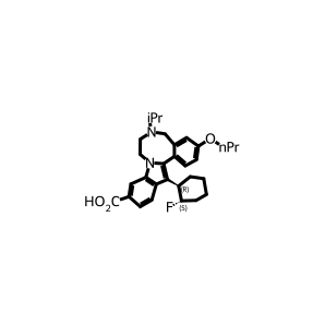 CCCOc1ccc2c(c1)CN(C(C)C)CCn1c-2c([C@H]2CCCC[C@@H]2F)c2ccc(C(=O)O)cc21